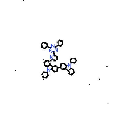 c1ccc(-c2nc(-c3ccccc3)nc(-c3cccc(-c4cccc5c4c4cc(-c6ccc7c(c6)c6ccccc6n7-c6ccccc6)ccc4n5-c4ccccc4)n3)n2)cc1